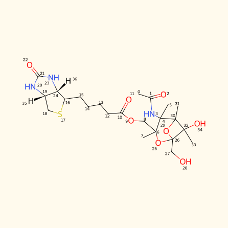 CC(=O)NC1(C)C(C)(COC(=O)CCCCC2SC[C@@H]3NC(=O)N[C@H]23)OC2(CO)OC1(C)C2(C)O